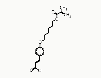 C=C(C)C(=O)OCCCCCCOc1ccc(/C=C/C(=O)Cl)cc1